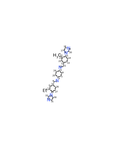 CCc1cc(/C=N/c2ccc(/N=C/c3ccc(-n4ccnc4)c(C)c3)cc2)ccc1-n1ccnc1